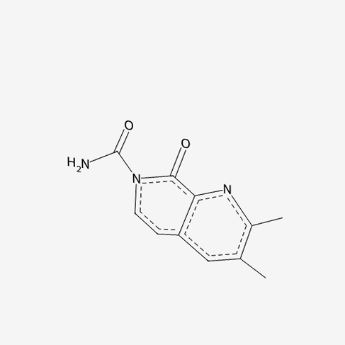 Cc1cc2ccn(C(N)=O)c(=O)c2nc1C